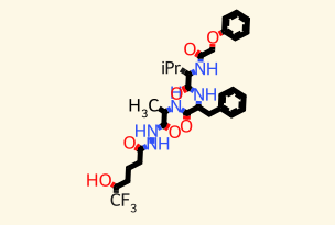 CC(NC(=O)C(Cc1ccccc1)NC(=O)C(NC(=O)COc1ccccc1)C(C)C)C(=O)NNC(=O)CCCC(O)C(F)(F)F